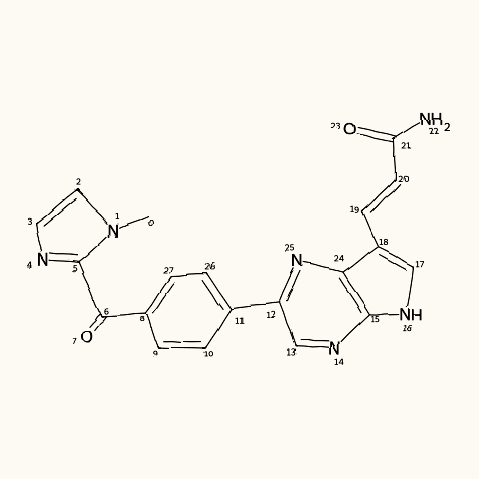 Cn1ccnc1C(=O)c1ccc(-c2cnc3[nH]cc(C=CC(N)=O)c3n2)cc1